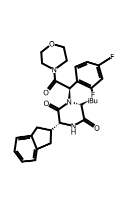 CC[C@H](C)[C@@H]1C(=O)N[C@H](C2Cc3ccccc3C2)C(=O)N1[C@@H](C(=O)N1CCOCC1)c1ccc(F)cc1F